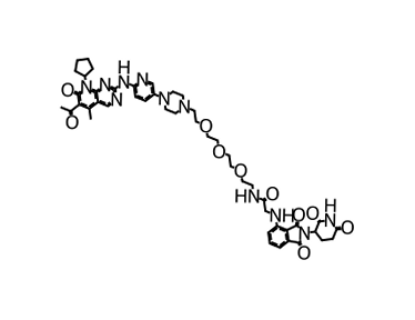 CC(=O)c1c(C)c2cnc(Nc3ccc(N4CCN(CCOCCOCCOCCNC(=O)CNc5cccc6c5C(=O)N(C5CCC(=O)NC5=O)C6=O)CC4)cn3)nc2n(C2CCCC2)c1=O